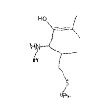 CC(C)=C(O)C(NC(C)C)C(C)CSC(C)C